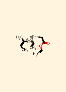 C=COC(=O)CCCCCCCCCCC.C=COC(C)=O.CC=C(C)C